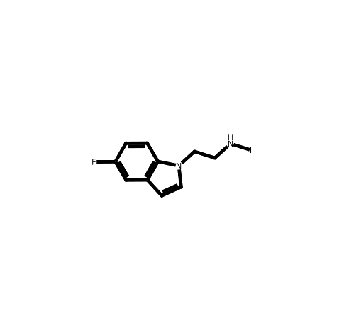 Fc1ccc2c(ccn2CCNI)c1